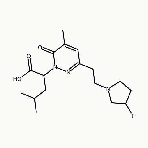 Cc1cc(CCN2CCC(F)C2)nn(C(CC(C)C)C(=O)O)c1=O